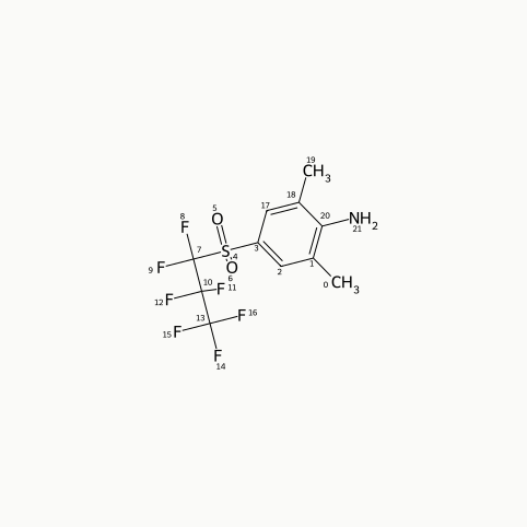 Cc1cc(S(=O)(=O)C(F)(F)C(F)(F)C(F)(F)F)cc(C)c1N